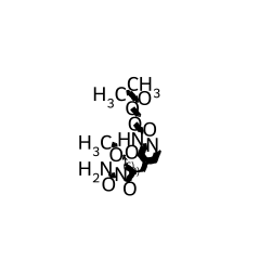 CCOC(=O)[C@@H]1[C@@H](Cc2ccnc(NC(=O)OCOC(=O)C(C)C)c2)C(=O)N1C(N)=O